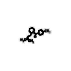 Cc1ccc(C(=O)N2CCCCC2CCN(C)C)cc1